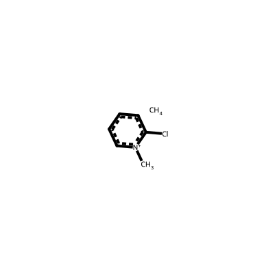 C.C[n+]1ccccc1Cl